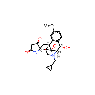 COc1ccc2c(c1)[C@]13CCN(CC4CC4)[C@H]([C@@H]2O)[C@]1(O)CC[C@@]1(C3)NC(=O)CC1=O